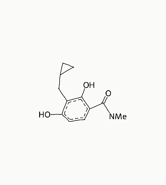 CNC(=O)c1ccc(O)c(CC2CC2)c1O